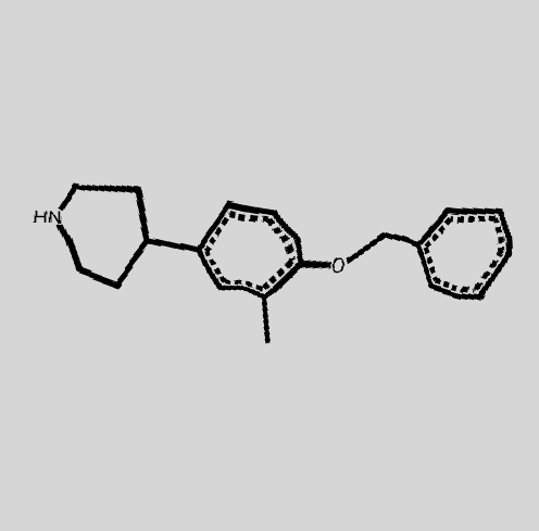 Cc1cc(C2CCNCC2)ccc1OCc1ccccc1